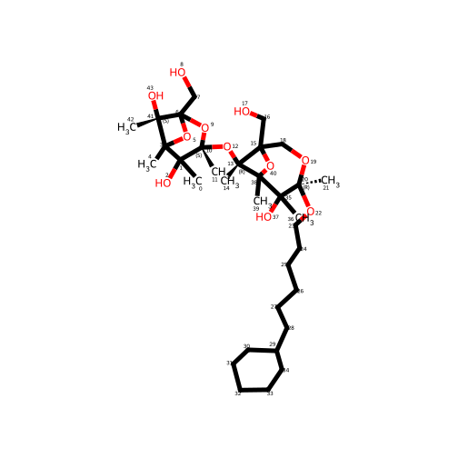 CC1(O)C2(C)OC(CO)(O[C@]1(C)O[C@]1(C)C3(CO)CO[C@@](C)(OCCCCCCC4CCCCC4)C(C)(O)C1(C)O3)[C@@]2(C)O